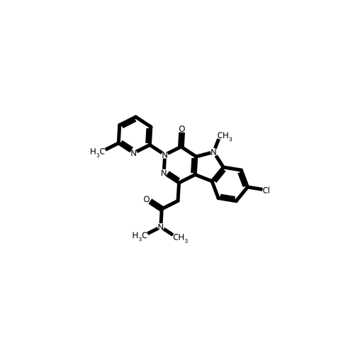 Cc1cccc(-n2nc(CC(=O)N(C)C)c3c4ccc(Cl)cc4n(C)c3c2=O)n1